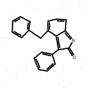 O=C1N=c2cccc(Cc3ccccc3)c2=C1c1ccccc1